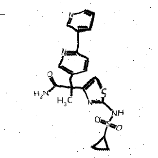 CC(C(N)=O)(c1ccc(-c2cccnc2)nc1)c1csc(NS(=O)(=O)C2CC2)n1